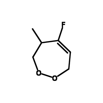 CC1COOCC=C1F